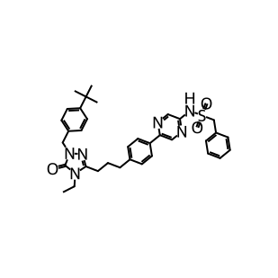 CCn1c(CCCc2ccc(-c3cnc(NS(=O)(=O)Cc4ccccc4)cn3)cc2)nn(Cc2ccc(C(C)(C)C)cc2)c1=O